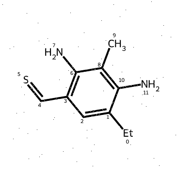 CCc1cc(C=S)c(N)c(C)c1N